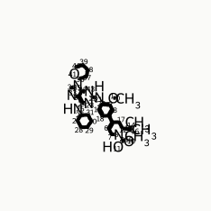 COc1cc(C2=CCN(C(=O)O)C(C(C)(C)C)C2)ccc1Nc1nc(NC2CCCCC2)c2ncn(C3CCCCO3)c2n1